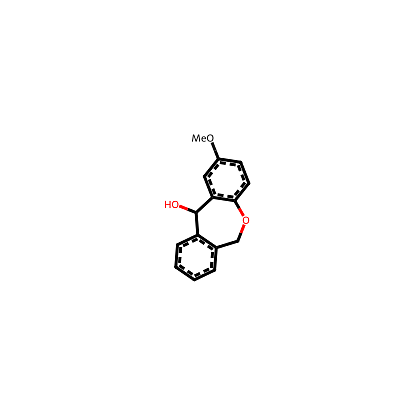 COc1ccc2c(c1)C(O)c1ccccc1CO2